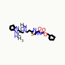 CC(C)(CNCCc1nc(C(=O)NC(=O)OCc2ccccc2)cs1)c1nc2ccccc2[nH]1